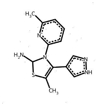 CC1=C(c2cn[nH]c2)N(c2cccc(C)n2)C(N)S1